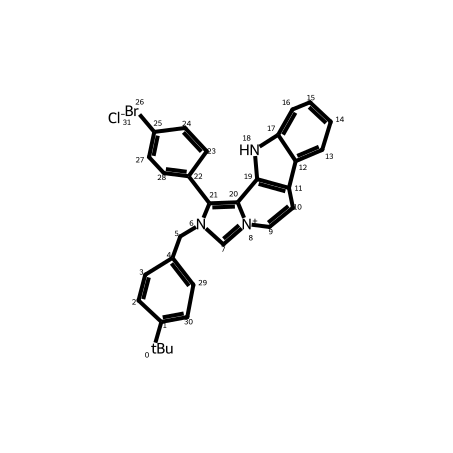 CC(C)(C)c1ccc(Cn2c[n+]3ccc4c5ccccc5[nH]c4c3c2-c2ccc(Br)cc2)cc1.[Cl-]